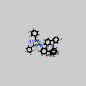 c1ccc(C2NC(c3ccccc3)NC(n3c4ccc5oc6ccccc6c5c4c4c5c(ccc43)c3ccccc3n5-c3ccccc3)N2)cc1